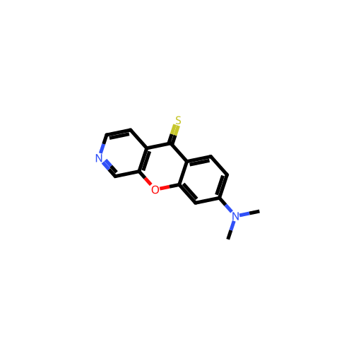 CN(C)c1ccc2c(=S)c3ccncc3oc2c1